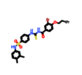 Cc1ccc(NS(=O)(=O)c2ccc(NC(=S)NC(=O)c3ccc(OCCC(C)C)c(Br)c3)cc2)cc1C